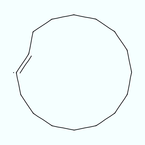 [C]1=C/CCCCCCCCCCCCCC/1